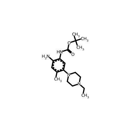 CCN1CCN(c2cc(NC(=O)OC(C)(C)C)c(N)cc2C)CC1